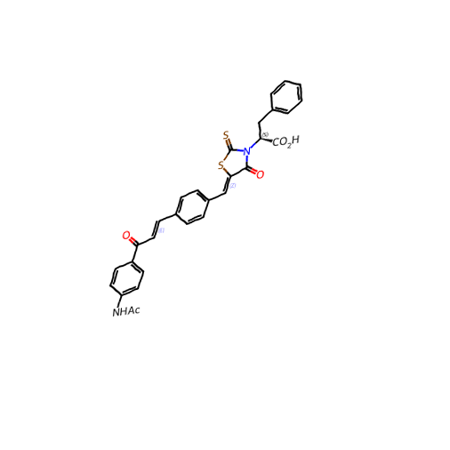 CC(=O)Nc1ccc(C(=O)/C=C/c2ccc(/C=C3\SC(=S)N([C@@H](Cc4ccccc4)C(=O)O)C3=O)cc2)cc1